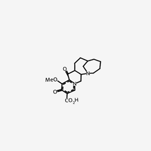 COc1c2n(cc(C(=O)O)c1=O)CC1C(CCC3CCCCN1C3)C2=O